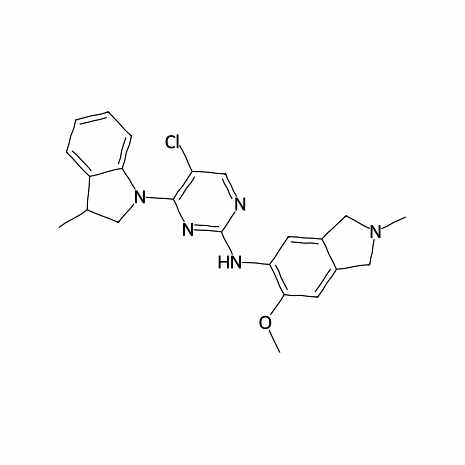 COc1cc2c(cc1Nc1ncc(Cl)c(N3CC(C)c4ccccc43)n1)CN(C)C2